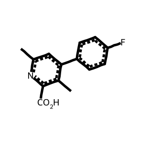 Cc1cc(-c2ccc(F)cc2)c(C)c(C(=O)O)n1